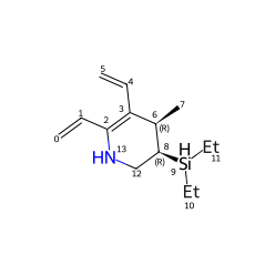 C=CC1=C(C=C)[C@@H](C)[C@@H]([SiH](CC)CC)CN1